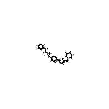 CC1CCCN(C(=O)c2coc(-c3ccc(CNC(=O)Cc4ccccc4)cc3)n2)C1